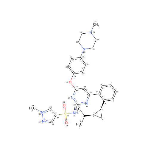 CC(C)[C@@H]1C[C@@H]1c1ccccc1-c1cc(Oc2ccc(N3CCN(C)CC3)cc2)nc(NS(=O)(=O)c2cnn(C)c2)n1